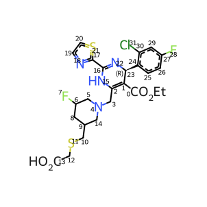 CCOC(=O)C1=C(CN2CC(F)CC(CSCC(=O)O)C2)NC(c2nccs2)=N[C@H]1c1ccc(F)cc1Cl